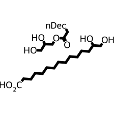 CCCCCCCCCCCC(=O)OCC(O)CO.O=C(O)CCCCCCCCCCCCC(O)CO